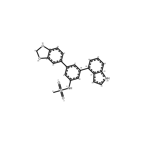 CS(=O)(=O)Nc1cc(-c2ccc3c(c2)OCO3)cc(-c2cccc3[nH]ccc23)c1